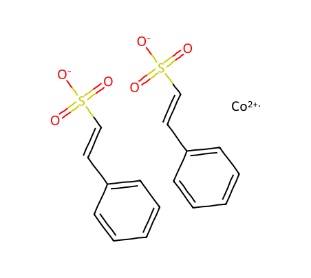 O=S(=O)([O-])C=Cc1ccccc1.O=S(=O)([O-])C=Cc1ccccc1.[Co+2]